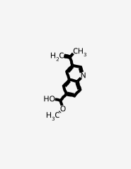 C=C(C)c1cnc2ccc(C(O)OC)cc2c1